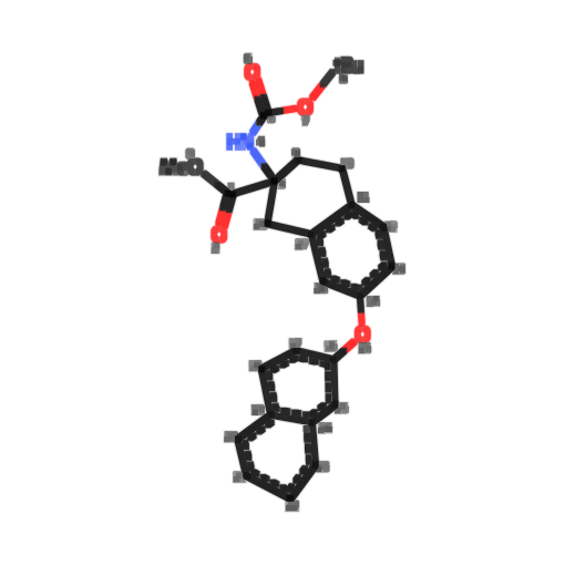 COC(=O)C1(NC(=O)OC(C)(C)C)CCc2ccc(Oc3ccc4ccccc4c3)cc2C1